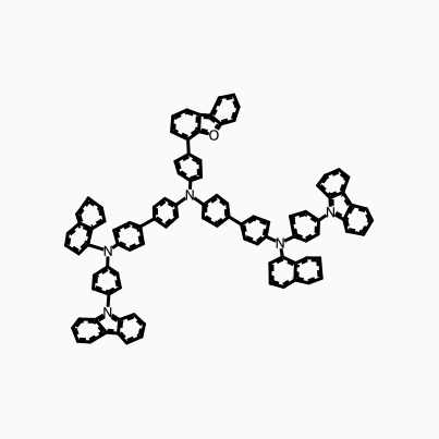 c1ccc2c(N(c3ccc(-c4ccc(N(c5ccc(-c6ccc(N(c7ccc(-n8c9ccccc9c9ccccc98)cc7)c7cccc8ccccc78)cc6)cc5)c5ccc(-c6cccc7c6oc6ccccc67)cc5)cc4)cc3)c3ccc(-n4c5ccccc5c5ccccc54)cc3)cccc2c1